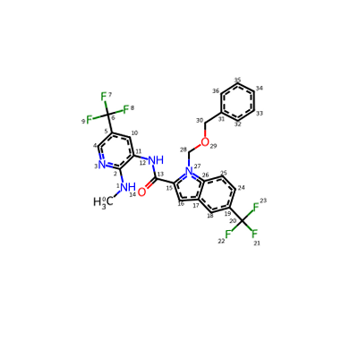 CNc1ncc(C(F)(F)F)cc1NC(=O)c1cc2cc(C(F)(F)F)ccc2n1COCc1ccccc1